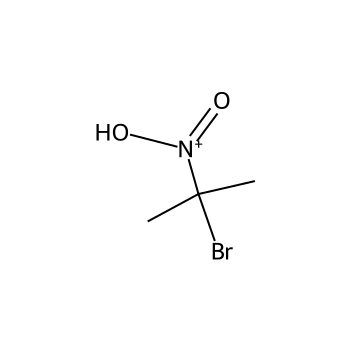 CC(C)(Br)[N+](=O)O